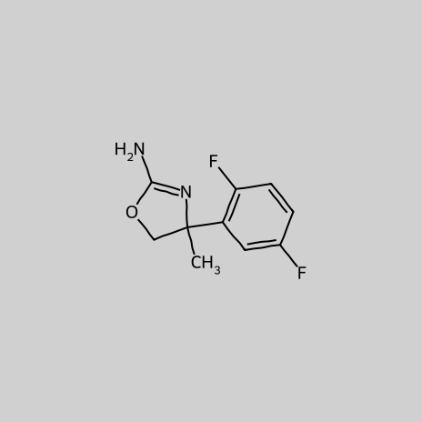 CC1(c2cc(F)ccc2F)COC(N)=N1